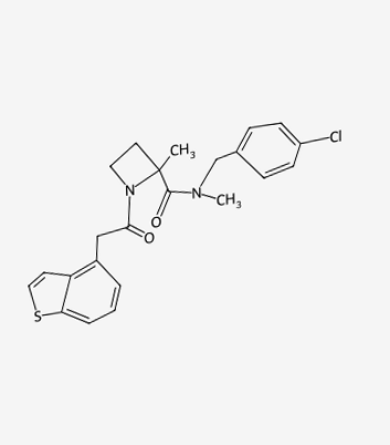 CN(Cc1ccc(Cl)cc1)C(=O)C1(C)CCN1C(=O)Cc1cccc2sccc12